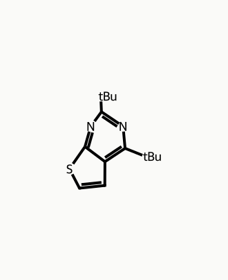 CC(C)(C)c1nc(C(C)(C)C)c2ccsc2n1